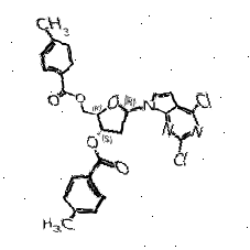 Cc1ccc(C(=O)OC[C@H]2O[C@@H](n3ccc4c(Cl)nc(Cl)nc43)C[C@@H]2OC(=O)c2ccc(C)cc2)cc1